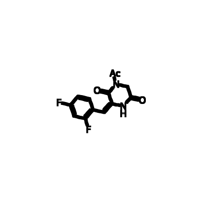 CC(=O)N1CC(=O)NC(=Cc2ccc(F)cc2F)C1=O